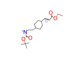 CCOC(=O)/C=C/C1CCC(CCN(C)C(=O)OC(C)(C)C)CC1